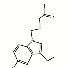 CCc1cn(CCCC(C)=O)c2ccc(F)cc12